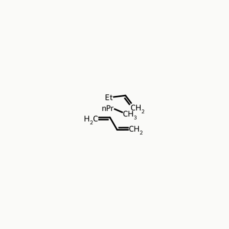 C=CC=C.C=CCC.CCCC